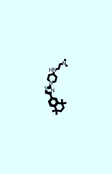 CN(C)CCNC1CCN(c2nc(-c3ccc4c(c3)C(C)(C)CCC4(C)C)cs2)CC1